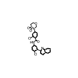 O=C(Nc1ccc(Cl)c(-c2ccc3ccccc3n2)c1)c1ccc(N2COCCS2(=O)=O)cc1Cl